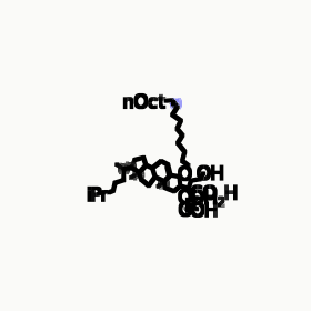 CCCCCCCC/C=C\CCCCCCCCOC(CO)C(OP(=O)(O)O)(C(=O)O)C1CC[C@@]2(C)C(=CCC3C2CC[C@@]2(C)C3CC[C@@H]2[C@H](C)CCCC(C)C)C1